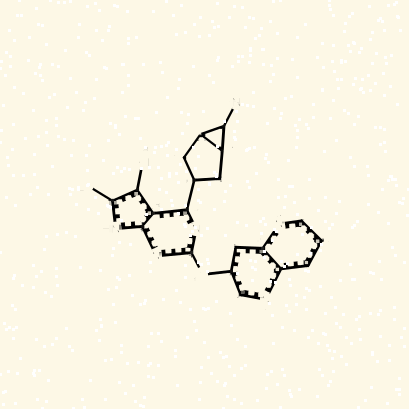 CCc1[nH]c2nc(Sc3cnc4cccnc4c3)nc(C3CC4C(N)C4C3)c2c1C